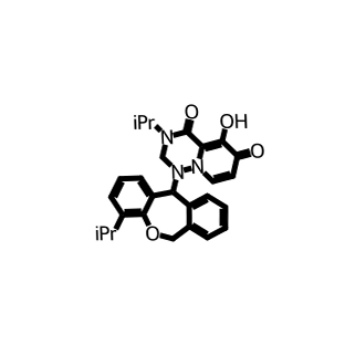 CC(C)c1cccc2c1OCc1ccccc1C2N1CN(C(C)C)C(=O)c2c(O)c(=O)ccn21